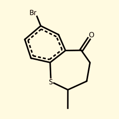 CC1CCC(=O)c2cc(Br)ccc2S1